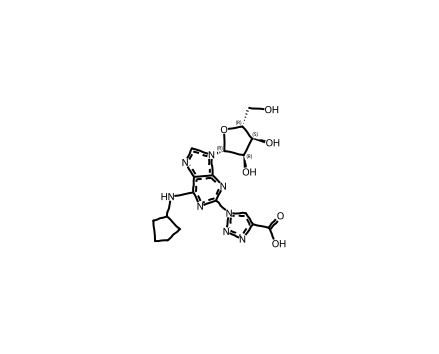 O=C(O)c1cn(-c2nc(NC3CCCC3)c3ncn([C@@H]4O[C@H](CO)[C@@H](O)[C@H]4O)c3n2)nn1